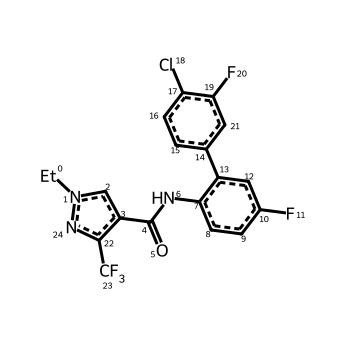 CCn1cc(C(=O)Nc2ccc(F)cc2-c2ccc(Cl)c(F)c2)c(C(F)(F)F)n1